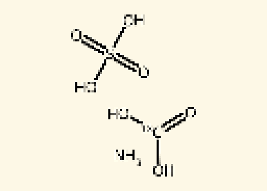 N.O=S(=O)(O)O.O=[13C](O)O